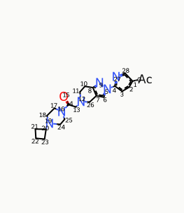 CC(=O)c1ccc(-n2cc3c(n2)CCN(CC(=O)N2CCN(C4CCC4)CC2)C3)nc1